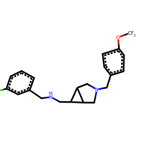 FC(F)(F)Oc1ccc(CN2CC3C(CNCc4cccc(Cl)c4)C3C2)cc1